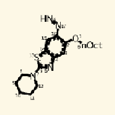 CCCCCCCCOc1cc2nc(N3CCCCC3)sc2cc1N=N